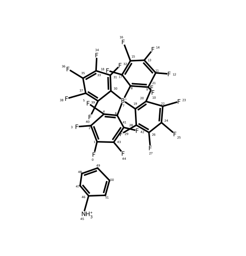 Fc1c(F)c(F)c([B-](c2c(F)c(F)c(F)c(F)c2F)(c2c(F)c(F)c(F)c(F)c2F)c2c(F)c(F)c(F)c(F)c2F)c(F)c1F.[NH3+]c1ccccc1